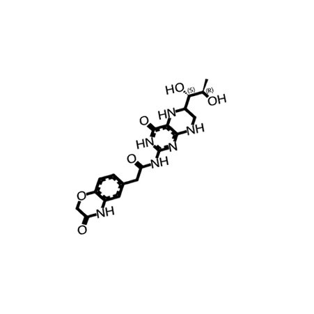 C[C@@H](O)[C@@H](O)C1CNc2nc(NC(=O)Cc3ccc4c(c3)NC(=O)CO4)[nH]c(=O)c2N1